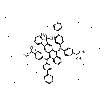 CC(C)c1ccc(N(c2ccc(-c3ccccc3)cc2)c2c3ccccc3c(N(c3ccc(-c4ccccc4)cc3)c3ccc(C(C)C)cc3)c3cc4c(cc23)-c2ccccc2C4(C)C)cc1